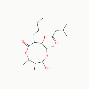 CCCC[C@H]1C(=O)OC(C)C(C)C(O)O[C@@H](C)C1OC(=O)CC(C)C